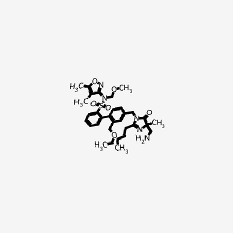 CCCCC1=NC(C)(CN)C(=O)N1Cc1ccc(-c2ccccc2S(=O)(=O)N(COC)c2noc(C)c2C)c(COCC)c1